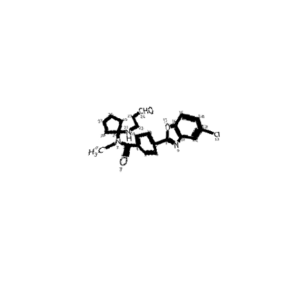 CN(C(=O)c1ccc(-c2nc3cc(Cl)ccc3o2)cc1)C1(NCCC=O)CCCC1